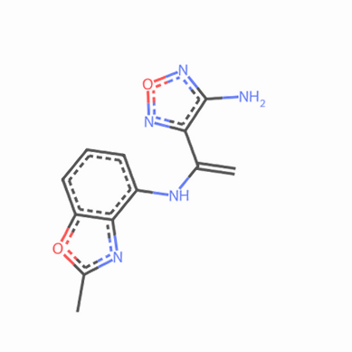 C=C(Nc1cccc2oc(C)nc12)c1nonc1N